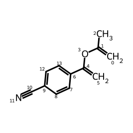 C=C(C)OC(=C)c1ccc(C#N)cc1